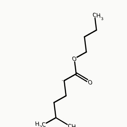 CCCCOC(=O)[CH]CCC(C)C